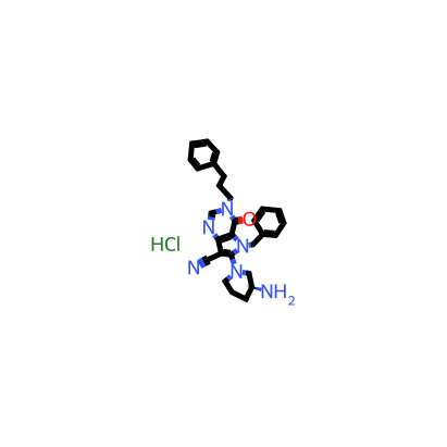 Cl.N#Cc1c(N2CCC[C@H](N)C2)n(Cc2ccccc2)c2c(=O)n(CCCc3ccccc3)cnc12